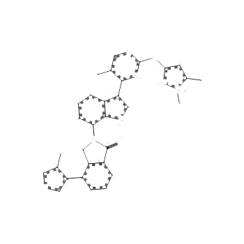 Cc1cscc1-c1cccc2c1CN(c1cccc3c(-c4nc(Nc5cc(C)n(C)n5)ncc4C)c[nH]c13)C2=O